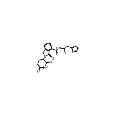 O=C(Cc1cccs1)NC(=O)c1cccc2c1C(=O)N(C1CCC(=O)NC1=O)C2